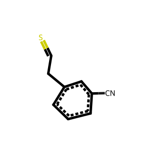 N#Cc1cccc(CC=S)c1